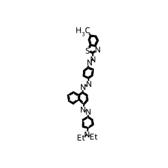 CCN(CC)c1ccc(N=Nc2ccc(N=Nc3ccc(N=Nc4nc5ccc(C)cc5s4)cc3)c3ccccc23)cc1